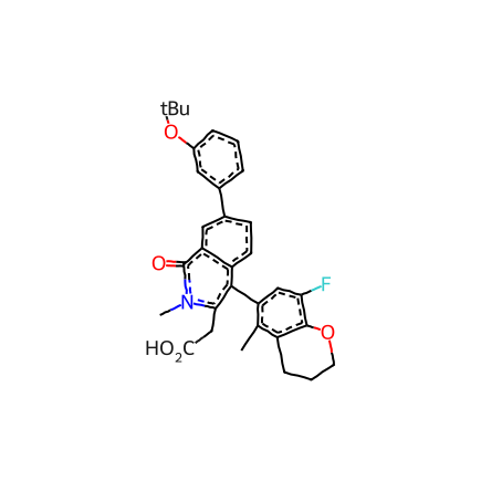 Cc1c(-c2c(CC(=O)O)n(C)c(=O)c3cc(-c4cccc(OC(C)(C)C)c4)ccc23)cc(F)c2c1CCCO2